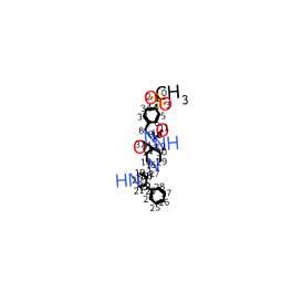 CS(=O)(=O)c1ccc(CN2C(=O)NC3(CCN(C[C@H]4CNC[C@@H]4c4ccccc4)CC3)C2=O)cc1